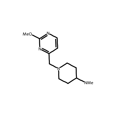 CNC1CCN(Cc2ccnc(OC)n2)CC1